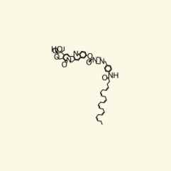 CC/C=C\C/C=C\C/C=C\C/C=C\C/C=C\C/C=C\CCC(=O)Nc1ccc(CN2CCN(C(=O)Oc3ccc4nc5c(cc4c3)Cn3c-5cc4c(c3=O)COC(=O)[C@]4(O)CC)CC2)cc1